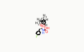 CC1(C)[C@@H]2C[C@H]3OB([C@H](Cc4ccc(F)cc4)NC(=O)O)O[C@@]3(C)[C@H]1C2